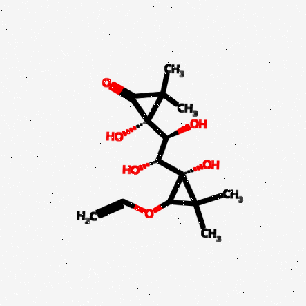 C=COC1C(C)(C)[C@]1(O)[C@H](O)[C@H](O)[C@@]1(O)C(=O)C1(C)C